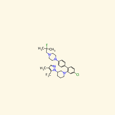 Cc1cnn(C2CCCN(c3cc(Cl)ccc3-c3ccc(N4CCN(CC(C)(C)F)CC4)cc3)C2)c1C(F)(F)F